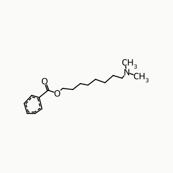 CN(C)CCCCCCCCOC(=O)c1ccccc1